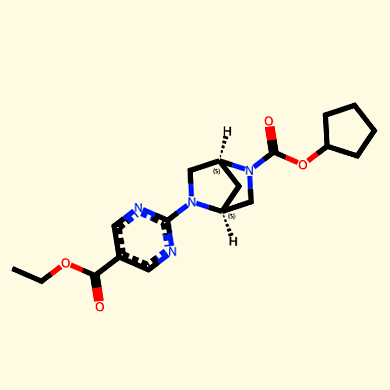 CCOC(=O)c1cnc(N2C[C@@H]3C[C@H]2CN3C(=O)OC2CCCC2)nc1